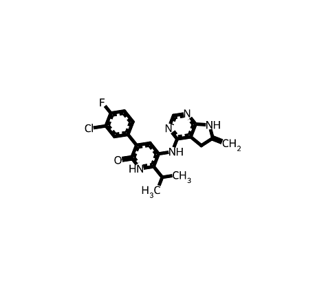 C=C1Cc2c(ncnc2Nc2cc(-c3ccc(F)c(Cl)c3)c(=O)[nH]c2C(C)C)N1